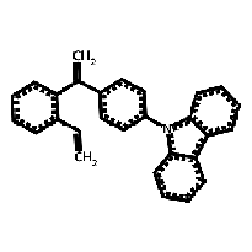 C=Cc1ccccc1C(=C)c1ccc(-n2c3ccccc3c3ccccc32)cc1